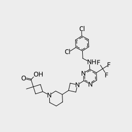 CC1(C(=O)O)CC(N2CCCC(C3CN(c4ncc(C(F)(F)F)c(NCc5ccc(Cl)cc5Cl)n4)C3)C2)C1